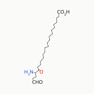 NC(CCC=O)C(=O)CCCCCCCCCCCCCCCCCCC(=O)O